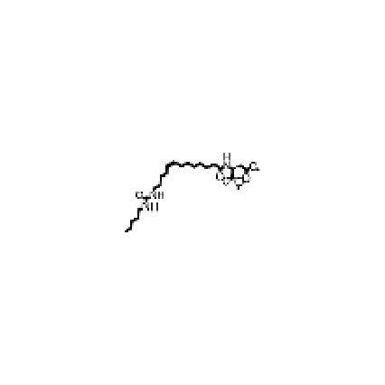 CCCCCNC(=O)NCCCC/C=C\CCCCCCC(=O)N[C@@H](CC(=O)OC)C(=O)OC